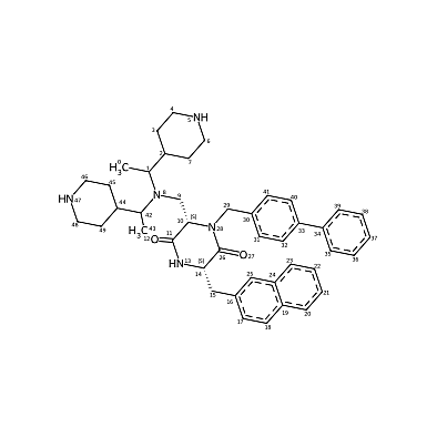 CC(C1CCNCC1)N(C[C@H]1C(=O)N[C@@H](Cc2ccc3ccccc3c2)C(=O)N1Cc1ccc(-c2ccccc2)cc1)C(C)C1CCNCC1